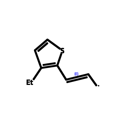 [CH2]/C=C/c1sccc1CC